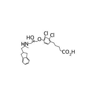 CC(C)(CC1Cc2ccccc2C1)NC[C@H](O)COc1ccc(CCCCC(=O)O)c(Cl)c1Cl